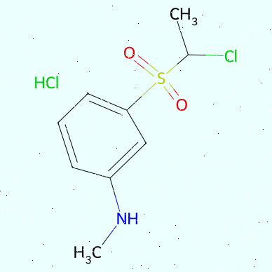 CNc1cccc(S(=O)(=O)C(C)Cl)c1.Cl